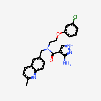 Cc1ccc2cc(CN(CCOc3cccc(Cl)c3)C(=O)c3c[nH]nc3N)ccc2n1